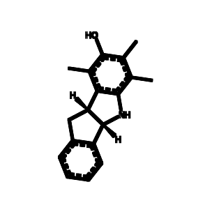 Cc1c(C)c2c(c(C)c1O)[C@H]1Cc3ccccc3[C@H]1N2